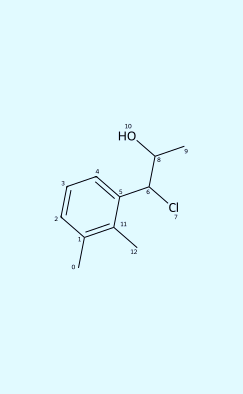 Cc1cccc(C(Cl)C(C)O)c1C